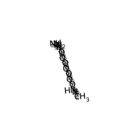 C[C@H]1CCN(NCCOCCOCCOCCOCCOCCOCCOCCn2cc(CN)nn2)C1